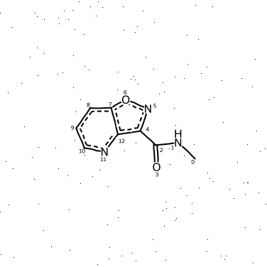 CNC(=O)c1noc2cccnc12